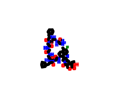 CC[C@@]1(O)C(=O)OCc2c1cc1n(c2=O)Cc2c-1nc1cc(F)c(C)c3c1c2[C@@H](NC(=O)CNC(=O)C(Cc1ccccc1)NC(=O)CNC(=O)CNC(=O)CNC(=O)[C@H](Cc1ccccc1)NC(=O)CNC(=O)CN)CC3